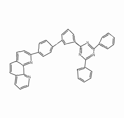 c1ccc(-c2nc(-c3ccccc3)nc(-c3cccc(-c4ccc(-c5ccc6ccc7cccnc7c6n5)cc4)c3)n2)cc1